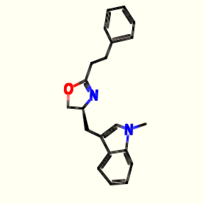 Cn1cc(C[C@H]2COC(CCc3ccccc3)=N2)c2ccccc21